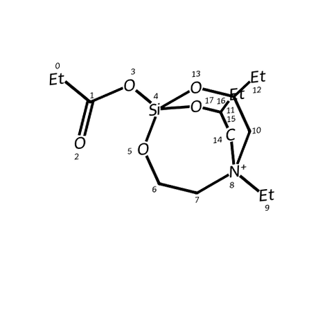 CCC(=O)O[Si]12OCC[N+](CC)(CC(CC)O1)CC(CC)O2